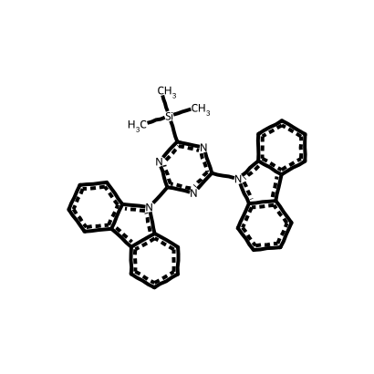 C[Si](C)(C)c1nc(-n2c3ccccc3c3ccccc32)nc(-n2c3ccccc3c3ccccc32)n1